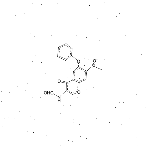 C[S+]([O-])c1cc2occ(NC=O)c(=O)c2cc1Oc1ccccc1